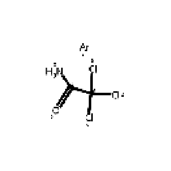 NC(=O)C(Cl)(Cl)Cl.[Ar]